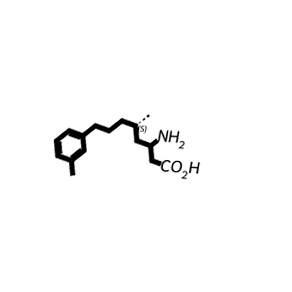 Cc1cccc(CCC[C@H](C)CC(N)CC(=O)O)c1